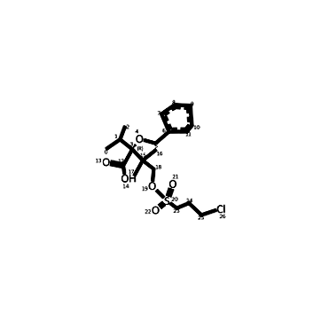 CC(C)[C@](OCc1ccccc1)(C(=O)O)C(C)(C)COS(=O)(=O)CCCCl